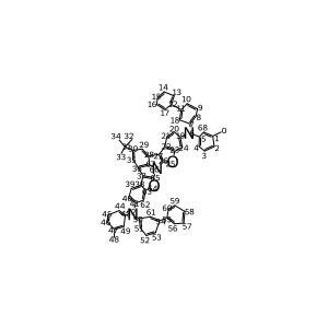 Cc1cccc(N(c2cccc(-c3ccccc3)c2)c2ccc3c(c2)oc2c3c3cc(C(C)(C)C)cc4c5c6ccc(N(c7cccc(C)c7)c7cccc(-c8ccccc8)c7)cc6oc5n2c34)c1